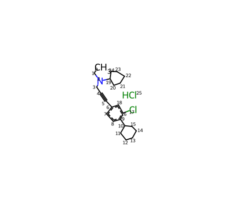 CCN(CC#Cc1ccc(C2CCCCC2)c(Cl)c1)C1CCCCC1.Cl